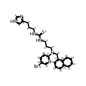 S=C(NCCCc1c[nH]cn1)NCCCN(Cc1cccc2ccccc12)c1ccc(Br)cn1